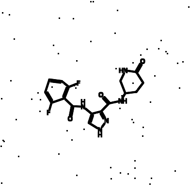 O=C1CCC(NC(=O)c2n[nH]cc2NC(=O)c2c(F)cccc2F)CN1